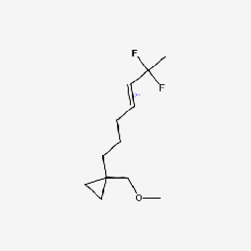 COCC1(CCC/C=C/C(C)(F)F)CC1